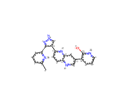 Cc1cccc(-c2n[nH]cc2-c2ccc3ncc(-c4cccnc4O)cc3n2)n1